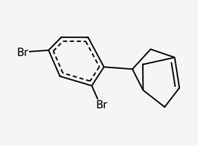 Brc1ccc(C2CC3=CCC2C3)c(Br)c1